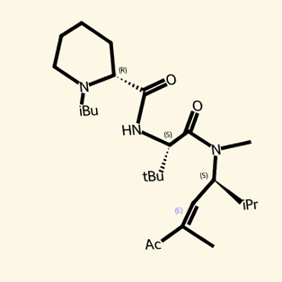 CCC(C)N1CCCC[C@@H]1C(=O)N[C@H](C(=O)N(C)[C@H](/C=C(\C)C(C)=O)C(C)C)C(C)(C)C